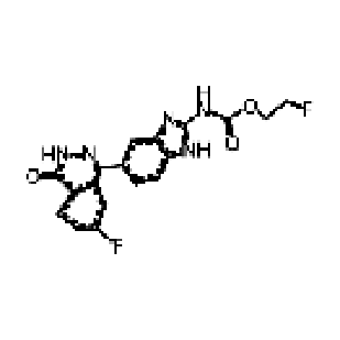 O=C(Nc1nc2cc(-c3n[nH]c(=O)c4ccc(F)cc34)ccc2[nH]1)OCCF